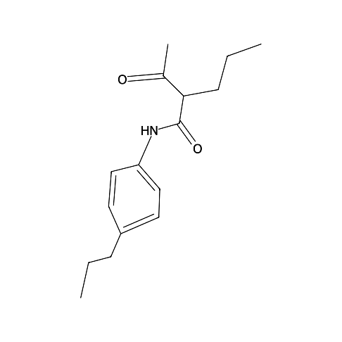 CCCc1ccc(NC(=O)C(CCC)C(C)=O)cc1